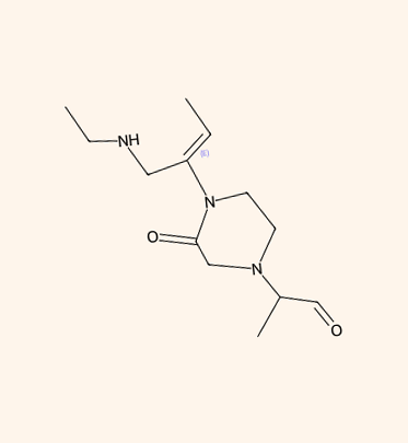 C/C=C(\CNCC)N1CCN(C(C)C=O)CC1=O